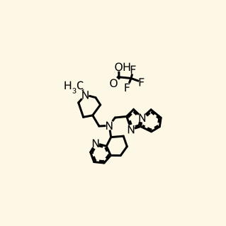 CN1CCC(CN(Cc2cn3ccccc3n2)C2CCCc3cccnc32)CC1.O=C(O)C(F)(F)F